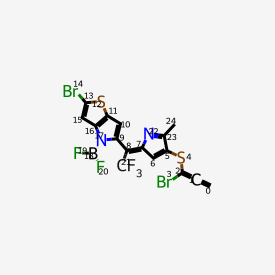 C=C=C(Br)SC1=C/C(=C(/c2cc3sc(Br)cc3n2B(F)F)C(F)(F)F)N=C1C